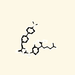 CC(C)CCCC(C(=O)O)c1ccc(NC2=NC(=O)C(=Cc3ccc(-c4ccc(N(C)C)cc4)cc3)S2)cc1F